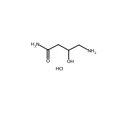 Cl.NCC(O)CC(N)=O